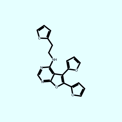 c1coc(CCNc2ncnc3oc(-c4ccco4)c(-c4ccco4)c23)c1